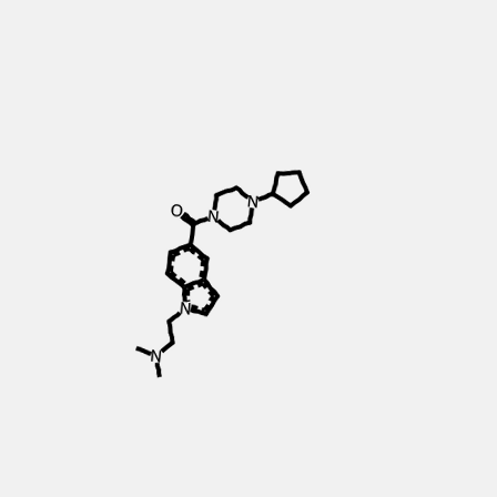 CN(C)CCn1ccc2cc(C(=O)N3CCN(C4CCCC4)CC3)ccc21